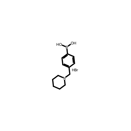 Br.OB(O)c1ccc(CN2CCCCC2)cc1